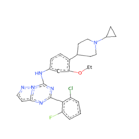 CCOc1cc(Nc2nc(-c3c(F)cccc3Cl)nc3ccnn23)ccc1C1CCN(C2CC2)CC1